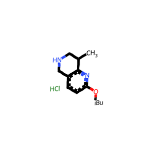 CCC(C)Oc1ccc2c(n1)C(C)CNC2.Cl